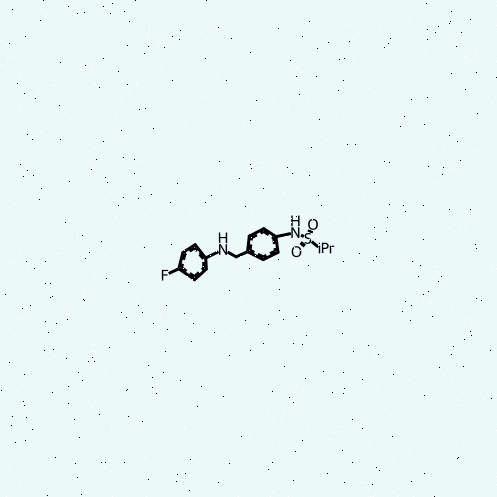 CC(C)S(=O)(=O)Nc1ccc(CNc2ccc(F)cc2)cc1